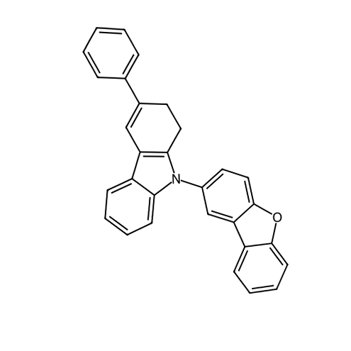 C1=C(c2ccccc2)CCc2c1c1ccccc1n2-c1ccc2oc3ccccc3c2c1